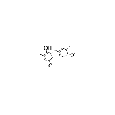 COc1cc(C)c(O)c(Cc2cc(C)c(OC)c(C)c2)c1